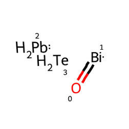 [O]=[Bi].[PbH2].[TeH2]